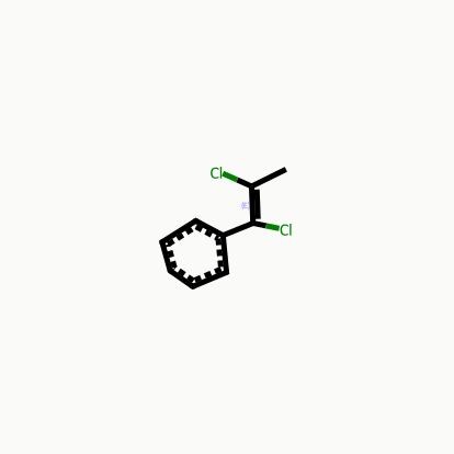 C/C(Cl)=C(\Cl)c1ccccc1